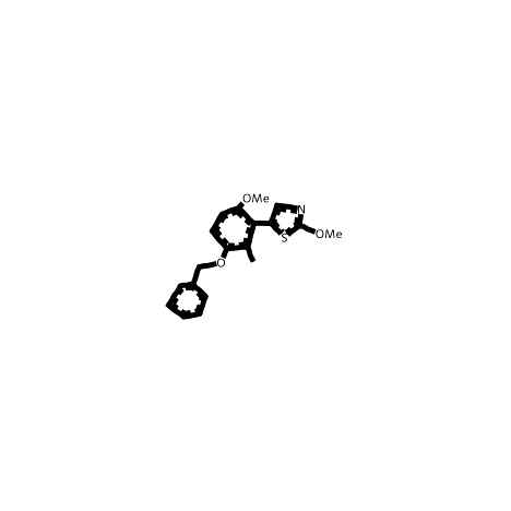 COc1ncc(-c2c(OC)ccc(OCc3ccccc3)c2C)s1